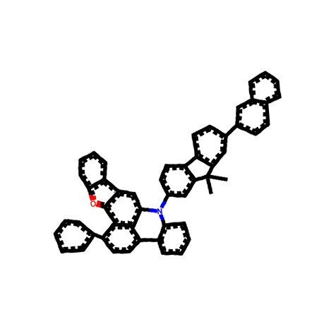 CC1(C)c2cc(-c3ccc4ccccc4c3)ccc2-c2ccc(N(c3ccc4oc5ccccc5c4c3)c3ccccc3-c3ccc(-c4ccccc4)cc3)cc21